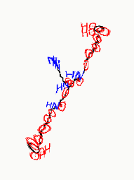 [N-]=[N+]=NCCCCCC(=O)NC(COCCC(=O)NCCOCCOCCOCCOC[C@H]1OCC[C@@H](O)[C@H]1O)COCCC(=O)NCCOCCOCCOCCOC[C@H]1OCC[C@@H](O)[C@H]1O